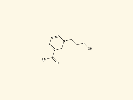 NC(=O)C1=CC=CN(CCCO)C1